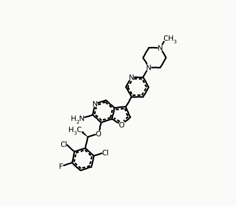 C[C@@H](Oc1c(N)ncc2c(-c3ccc(N4CCN(C)CC4)nc3)coc12)c1c(Cl)ccc(F)c1Cl